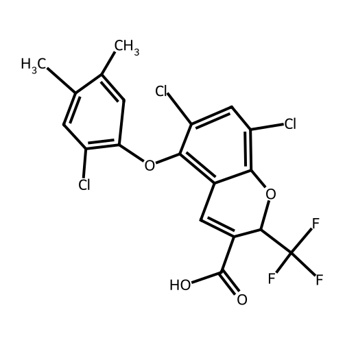 Cc1cc(Cl)c(Oc2c(Cl)cc(Cl)c3c2C=C(C(=O)O)C(C(F)(F)F)O3)cc1C